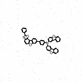 C1=c2oc3ccccc3c2=CC(N(c2ccc(-c3ccc4c(c3)oc3ccc5nc(-c6ccccc6)oc5c34)cc2)c2ccc3oc4ccccc4c3c2)C1